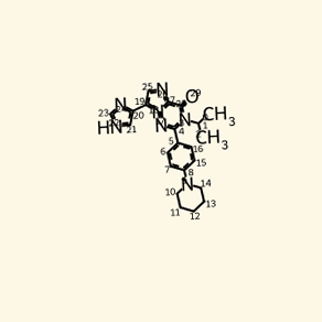 CC(C)n1c(-c2ccc(N3CCCCC3)cc2)nn2c(-c3c[nH]cn3)cnc2c1=O